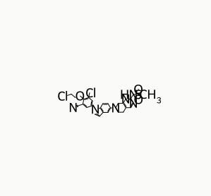 CS(=O)(=O)Nc1ncc2c(n1)CN(c1ccc3c(ccn3-c3cc(Cl)c(OCCCl)c(C#N)c3)c1)CC2